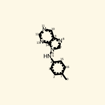 Cc1ccc(Nn2cnc3cncnc32)cc1